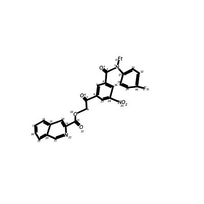 CCN(C(=O)c1cc(C(=O)COC(=O)c2cc3ccccc3cn2)cc([N+](=O)[O-])c1)c1ccc(F)cc1